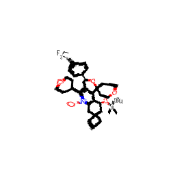 CC(C)(C)[Si](C)(C)O[C@H]1CC2(CCC2)Cc2c1c1c(c(C3CCOCC3)[n+]2[O-])[C@@H](c2ccc(C(F)(F)F)cc2)OC12CCOCC2